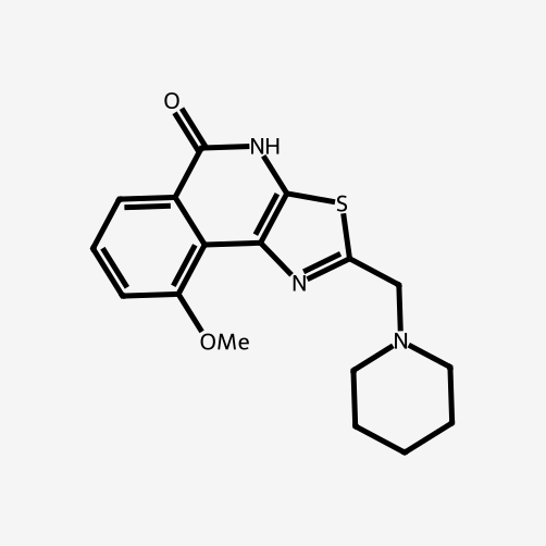 COc1cccc2c(=O)[nH]c3sc(CN4CCCCC4)nc3c12